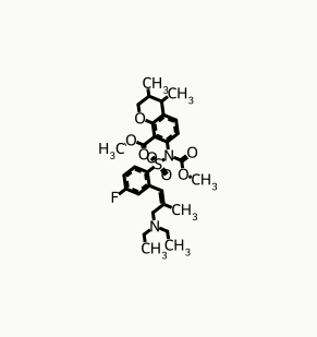 CCN(CC)C/C(C)=C\c1cc(F)ccc1S(=O)(=O)N(C(=O)OC)c1ccc2c(c1C(=O)OC)OCC(C)C2C